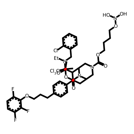 CCN(Cc1ccccc1Cl)C(=O)C1C(c2ccc(CCCOc3c(F)ccc(F)c3F)cc2)CC2CN(C(=O)OCCCCON(O)O)CC1N2C(=O)OC(C)(C)C(Cl)(Cl)Cl